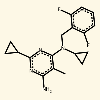 Cc1c(N)nc(C2CC2)nc1N(Cc1c(F)cccc1F)C1CC1